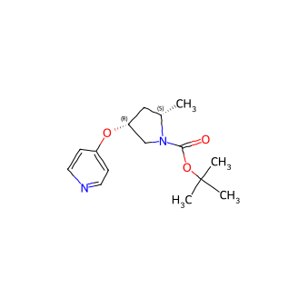 C[C@H]1C[C@@H](Oc2ccncc2)CN1C(=O)OC(C)(C)C